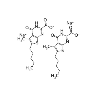 CCCCCc1sc2nc(C(=O)[O-])[nH]c(=O)c2c1C.CCCCCc1sc2nc(C(=O)[O-])[nH]c(=O)c2c1C.[Na+].[Na+]